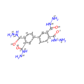 NNC(=O)c1ccc(-c2ccc(C(=O)NN)c(C(=O)NN)c2)cc1C(=O)NN